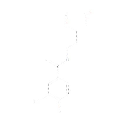 CCO[C@H](CO)CCNC(=O)c1ccc(O)c(O)c1